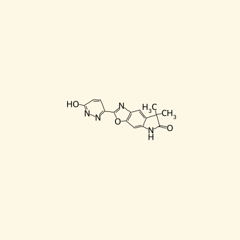 CC1(C)C(=O)Nc2cc3oc(-c4ccc(O)nn4)nc3cc21